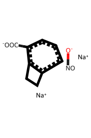 O=C([O-])c1cccc2c1CC2.O=N[O-].[Na+].[Na+]